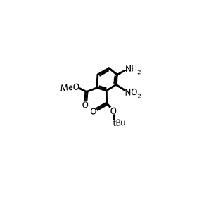 COC(=O)c1ccc(N)c([N+](=O)[O-])c1C(=O)OC(C)(C)C